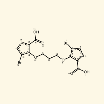 O=C(O)c1scc(Br)c1OCCCOc1c(Br)csc1C(=O)O